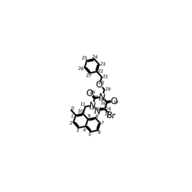 Cc1ccc2ccccc2c1Cn1nc(Br)c(=O)n(COCc2ccccc2)c1=O